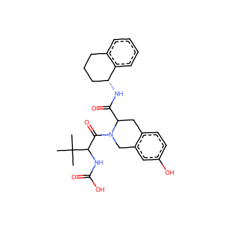 CC(C)(C)C(NC(=O)O)C(=O)N1Cc2cc(O)ccc2CC1C(=O)N[C@@H]1CCCc2ccccc21